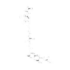 N/C(=C\N(N)CCCCCCC(=O)NCCCCC(NC(=O)NC(CCC(=O)O)C(=O)O)C(=O)O)CC(S)C(=O)O